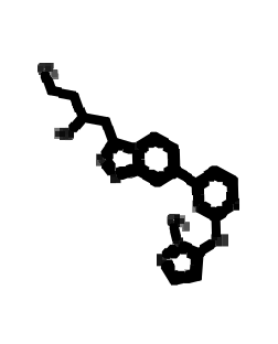 Cn1nccc1Nc1nccc(-c2ccn3c(CC(O)CCC(F)(F)F)nnc3c2)n1